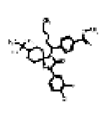 CCCCC(c1ccc(C(=O)OC)cc1)N1C(=O)C(c2ccc(Cl)c(F)c2)=NC12CCC(C(C)(C)C)CC2